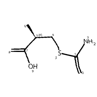 C=C(N)SC[C@H](C)C(=C)O